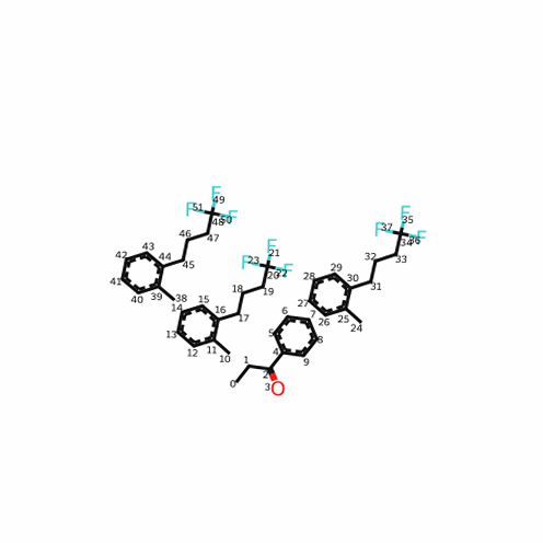 CCC(=O)c1ccccc1.Cc1ccccc1CCCC(F)(F)F.Cc1ccccc1CCCC(F)(F)F.Cc1ccccc1CCCC(F)(F)F